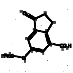 CCCCCOc1cc(C(=O)O)c2c(c1)C(=O)CC2